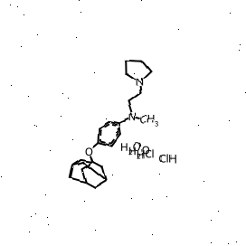 CN(CCN1CCCC1)c1ccc(OC23CC4CC(CC(C4)C2)C3)cc1.Cl.Cl.O.O